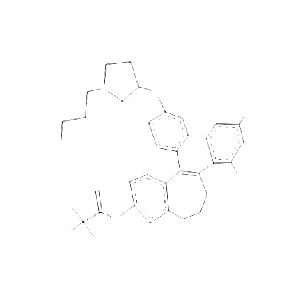 O=C(Nc1ccc2c(c1)CCCC(c1ccc(Cl)cc1Cl)=C2c1ccc(OC2CCN(CCCF)C2)cc1)C(F)(F)F